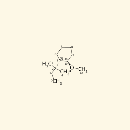 CCC(C)(C)[C@@H]1CCCC[C@H]1OC